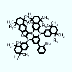 CC(C)(C)c1ccccc1-c1cc2c3c(c1)N(c1ccc4c(c1)C(C)(C)CCC4(C)C)c1oc4cc5c(cc4c1B3c1cc3c(cc1N2c1ccc2c(c1)C(C)(C)CCC2(C)C)C(C)(C)CCC3(C)C)C(C)(C)CCC5(C)C